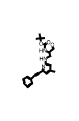 Cc1cc(C#Cc2ccccc2)nc(NCC(C=O)NC(=O)OC(C)(C)C)c1